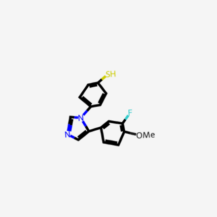 COc1ccc(-c2cncn2-c2ccc(S)cc2)cc1F